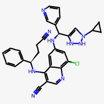 N#CCC[C@@H](Nc1c(C#N)cnc2c(Cl)cc(N[C@H](C3=CN(C4CC4)NN3)c3cccnc3)cc12)c1ccccc1